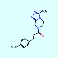 COc1ccc(CCC(=O)N2CCn3c(C)nnc3C2)cc1